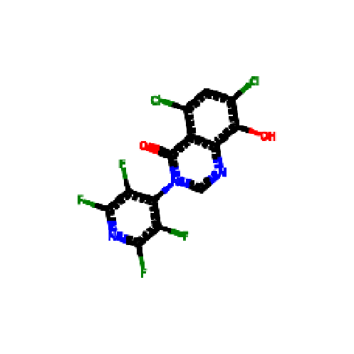 O=c1c2c(Cl)cc(Cl)c(O)c2ncn1-c1c(F)c(F)nc(F)c1F